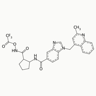 Cc1cc(Cn2cnc3cc(C(=O)NC4CCCC4C(=O)NOC(=O)C(F)(F)F)ccc32)c2ccccc2n1